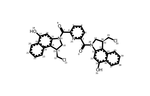 O=C(c1cccc(C(=O)N2C[C@@H](CCl)c3c2cc(O)c2ccccc32)n1)N1C[C@@H](CCl)c2c1cc(O)c1ccccc21